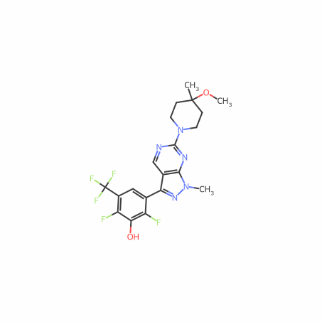 COC1(C)CCN(c2ncc3c(-c4cc(C(F)(F)F)c(F)c(O)c4F)nn(C)c3n2)CC1